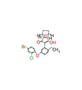 CCc1ccc(Oc2ccc(Br)cc2Cl)cc1C1=C(O)[C@H]2[C@@H](C1=O)[C@@H]1CC[C@H]2O1